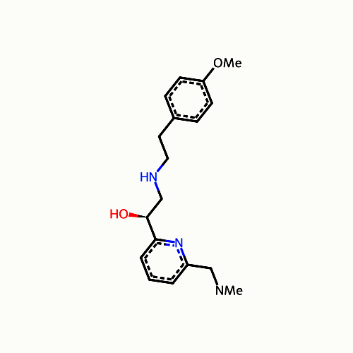 CNCc1cccc([C@@H](O)CNCCc2ccc(OC)cc2)n1